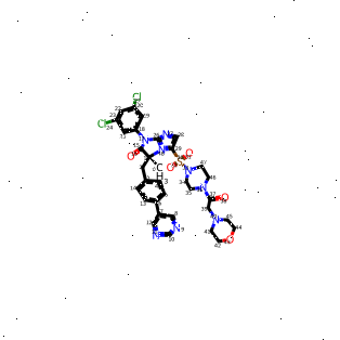 C[C@@]1(Cc2ccc(-c3cncnc3)cc2)C(=O)N(c2cc(Cl)cc(Cl)c2)c2ncc(S(=O)(=O)N3CCN(C(=O)CN4CCOCC4)CC3)n21